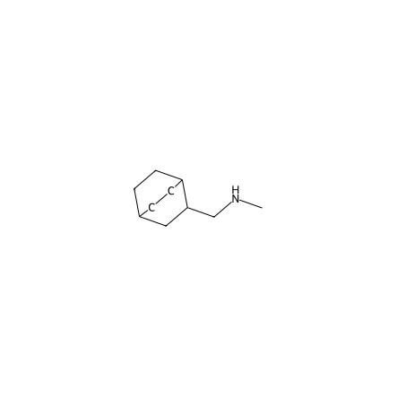 CNCC1CC2CCC1CC2